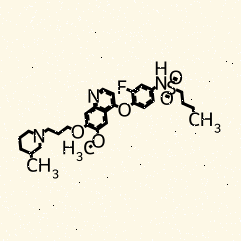 CCCCS(=O)(=O)Nc1ccc(Oc2ccnc3cc(OCCCN4CCCC(C)C4)c(OC)cc23)c(F)c1